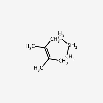 CC(C)=C(C)C.C[SiH2]C